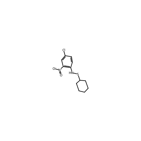 O=[N+]([O-])c1cc(Cl)ccc1NSC1CCCCC1